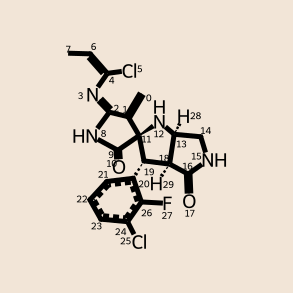 C=C1/C(=N\C(Cl)=C/C)NC(=O)[C@]12N[C@H]1CNC(=O)[C@H]1[C@@H]2c1cccc(Cl)c1F